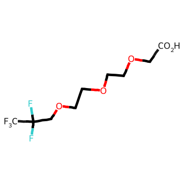 O=C(O)COCCOCCOCC(F)(F)C(F)(F)F